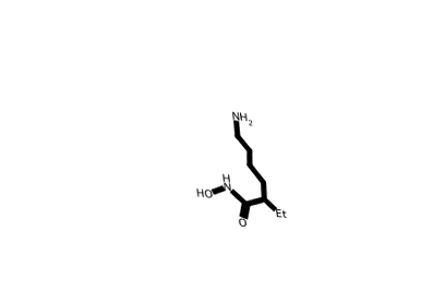 CCC(CCCCN)C(=O)NO